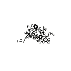 C=CCN(CC=C)C(=O)C(Cl)Cl.CCOCN(C(=O)CCl)c1c(C)cccc1CC.Cc1nn(-c2cc(NS(C)(=O)=O)c(Cl)cc2Cl)c(=O)n1C(F)F.O=C(O)CNCP(=O)(O)O